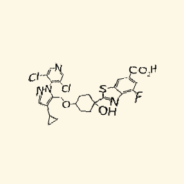 O=C(O)c1cc(F)c2nc(C3(O)CCC(OCc4c(C5CC5)cnn4-c4c(Cl)cncc4Cl)CC3)sc2c1